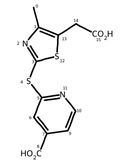 Cc1nc(Sc2cc(C(=O)O)ccn2)sc1CC(=O)O